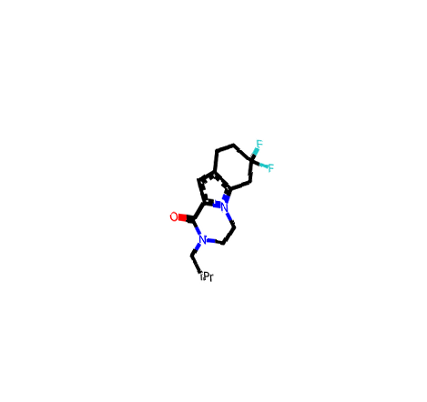 CC(C)CN1CCn2c(cc3c2CC(F)(F)CC3)C1=O